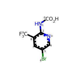 O=C(O)Nc1ncc(Br)cc1C(F)(F)F